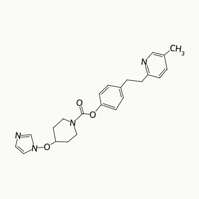 Cc1ccc(CCc2ccc(OC(=O)N3CCC(On4ccnc4)CC3)cc2)nc1